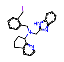 ICc1ccccc1CN(Cc1nc2ccccc2[nH]1)C1CCCc2cccnc21